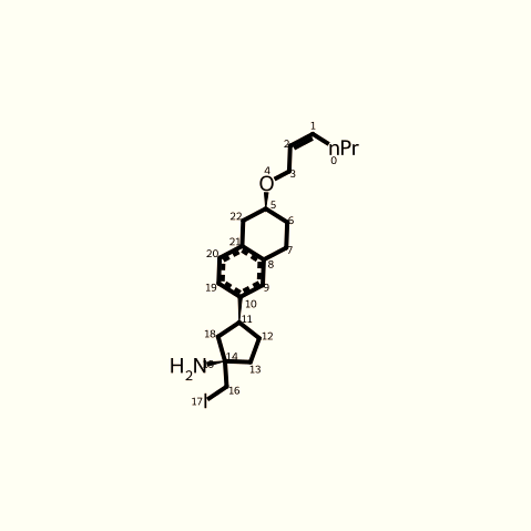 CCC/C=C\CO[C@H]1CCc2cc([C@H]3CC[C@](N)(CI)C3)ccc2C1